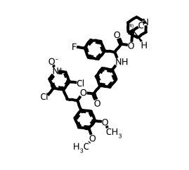 COc1ccc(C(Cc2c(Cl)c[n+]([O-])cc2Cl)OC(=O)c2ccc(NC(C(=O)O[C@H]3CN4CCC3CC4)c3ccc(F)cc3)cc2)cc1OC